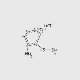 Cl.Cl.Nc1ccccc1SS